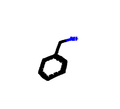 [NH]Cc1ccccc1